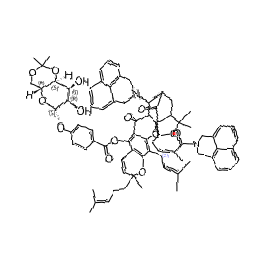 CC(C)=CCCC1(C)C=Cc2c(c(CC=C(C)C)c3c(c2OC(=O)c2ccc(O[C@@H]4O[C@@H]5COC(C)(C)O[C@H]5[C@@H](O)[C@H]4O)cc2)C(=O)C2C(N4Cc5cccc6cccc(c56)C4)C4CC5C(C)(C)OC(C/C=C(/C)C(=O)N6Cc7cccc8cccc(c78)C6)(C4=O)C25O3)O1